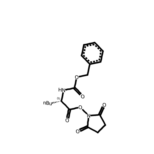 CCCC[C@H](NC(=O)OCc1ccccc1)C(=O)ON1C(=O)CCC1=O